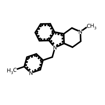 Cc1ccc(Cn2c3c(c4ccccc42)CN(C)CC3)cn1